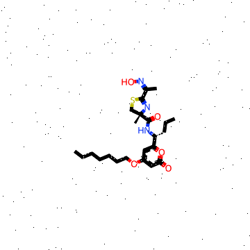 CCCCCCCOc1cc([C@@H](CCC)NC(=O)[C@]2(C)CSC(/C(C)=N\O)=N2)oc(=O)c1